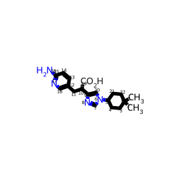 CC1(C)CCC(n2cnc(C(Cc3ccc(N)nc3)C(=O)O)c2)CC1